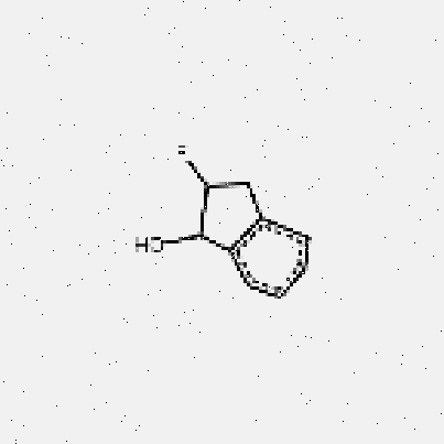 OC1c2ccccc2CC1F